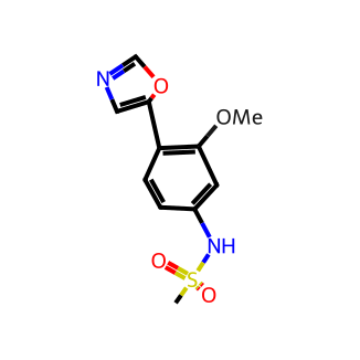 COc1cc(NS(C)(=O)=O)ccc1-c1cnco1